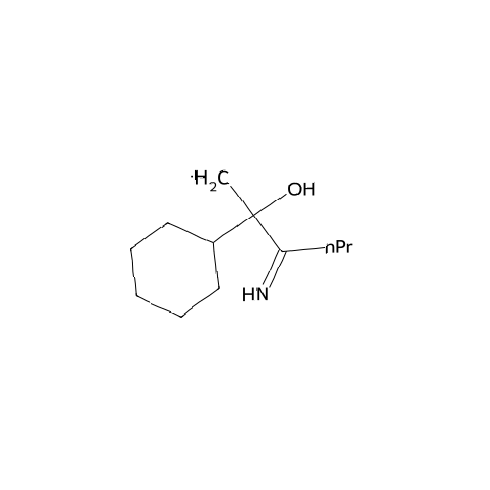 [CH2]C(O)(C(=N)CCC)C1CCCCC1